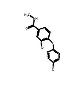 CNC(=O)c1ccc(Oc2ccc(Cl)cc2)c(Br)c1